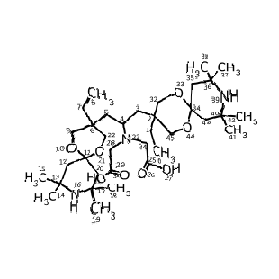 CCC1(CC(CC2(CC)COC3(CC(C)(C)NC(C)(C)C3)OC2)N(CC(=O)O)CC(=O)O)COC2(CC(C)(C)NC(C)(C)C2)OC1